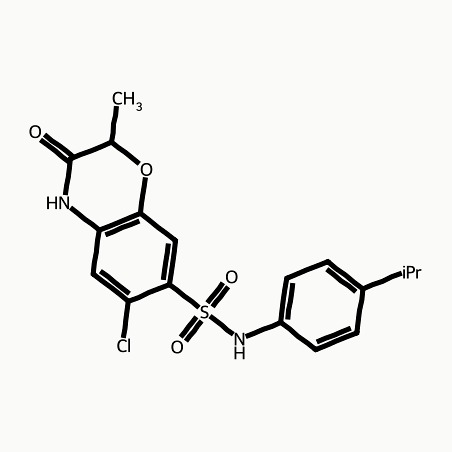 CC1Oc2cc(S(=O)(=O)Nc3ccc(C(C)C)cc3)c(Cl)cc2NC1=O